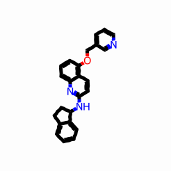 c1cncc(COc2cccc3nc(NC4CCc5ccccc54)ccc23)c1